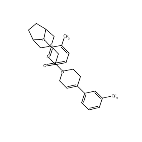 O=C(CN1CC2CCC(C1)N2c1ncccc1C(F)(F)F)N1CC=C(c2cccc(C(F)(F)F)c2)CC1